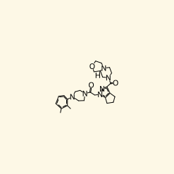 Cc1cccc(N2CCN(C(=O)Cn3nc(C(=O)N4CCN5CCOC[C@H]5C4)c4c3CCC4)CC2)c1C